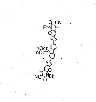 CCCCCCCCC1(CCCCCCCC)c2cc(-c3ccc(/C=C4\C(=O)N(CC)C(=O)C(C#N)=C4C)s3)ccc2-c2ccc(-c3ccc(/C=C4\C(=O)N(CC)C(=O)C(C#N)=C4C)s3)cc21